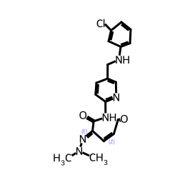 CN(C)/N=C(\C=C/C=O)C(=O)Nc1ccc(CNc2cccc(Cl)c2)cn1